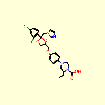 CCC1CN(c2ccc(OCC3COC(Cn4ccnc4)(c4ccc(Cl)cc4Cl)O3)cc2)CCN1C(=O)O